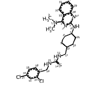 CN(C)c1nc(NC2CCC(CNC(=S)NCc3ccc(Cl)cc3Cl)CC2)nc2ccccc12